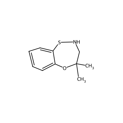 CC1(C)CNSc2ccccc2O1